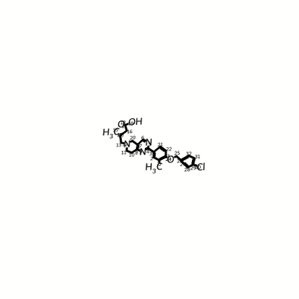 Cc1cc(-c2ncc3c(n2)CCN(C[C@H](C)CC(=O)O)C3)ccc1OCc1ccc(Cl)cc1